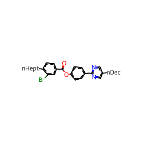 CCCCCCCCCCc1cnc(-c2ccc(OC(=O)c3ccc(CCCCCCC)c(Br)c3)cc2)nc1